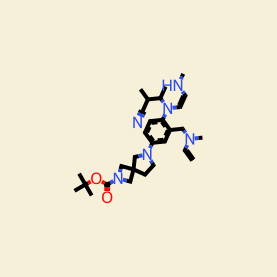 C=CN(C)Cc1cc(N2CCC3(CN(C(=O)OC(C)(C)C)C3)C2)ccc1N(/C=C\NC)C(C)C(C)C#N